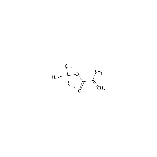 C=C(C)C(=O)OC(C)(N)N